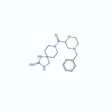 N=C1NCC2(CCN(C(=O)C3CN(Cc4ccccc4)CCO3)CC2)N1